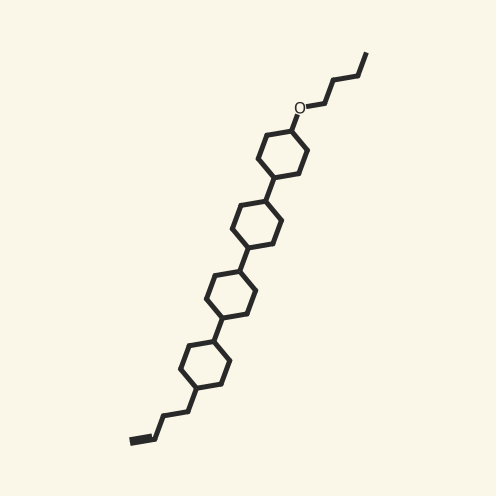 C=CCCC1CCC(C2CCC(C3CCC(C4CCC(OCCCC)CC4)CC3)CC2)CC1